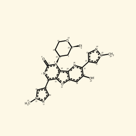 CC[C@H]1C[C@@H](n2c(=O)nc(-c3cnn(C)c3)c3oc4cc(O)c(-c5cnn(C)c5)nc4c32)CCO1